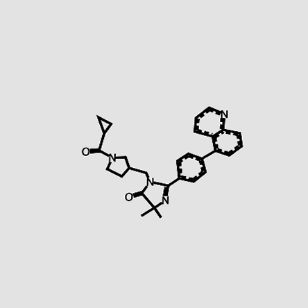 CC1(C)N=C(c2ccc(-c3cccc4ncccc34)cc2)N(CC2CCN(C(=O)C3CC3)C2)C1=O